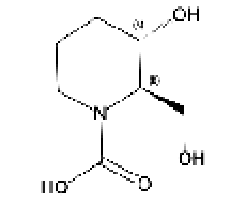 O=C(O)N1CCC[C@H](O)[C@H]1CO